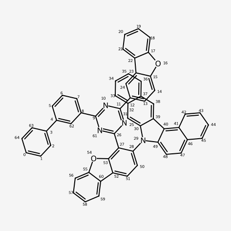 c1ccc(-c2cccc(-c3nc(-c4ccc5oc6ccccc6c5c4)nc(-c4c(-n5c6cc7ccccc7cc6c6c7ccccc7ccc65)ccc5c4oc4ccccc45)n3)c2)cc1